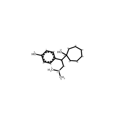 CN(C)CC(c1ccc(O)cc1)C1(O)CCCCCC1